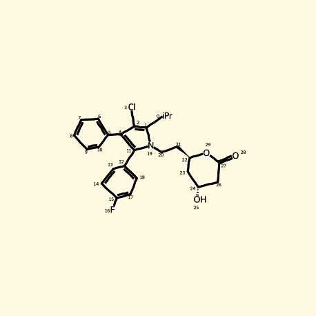 CC(C)c1c(Cl)c(-c2ccccc2)c(-c2ccc(F)cc2)n1CC[C@@H]1C[C@@H](O)CC(=O)O1